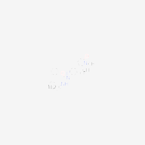 Cc1c(-c2ccc(NC(=O)[C@@H](NC(=O)O)C(c3ccccc3)c3ccccc3)cc2C(F)(F)F)ccc(=O)n1C